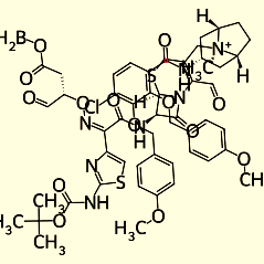 BOC(=O)C[C@@H](C=O)O/N=C(\C(=O)N[C@@H]1C(=O)N2C(C=O)=C(C[N@+]3(C)[C@@H]4CC[C@H]3C[C@@H](NC(=O)c3ccc(Cl)c(OCc5ccc(OC)cc5)c3OCc3ccc(OC)cc3)C4)CS[C@H]12)c1csc(NC(=O)OC(C)(C)C)n1